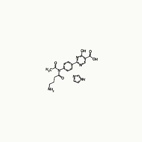 CC(=O)N(C(=O)CCCN)c1ccc(-c2ncc(C(=O)O)c(O)n2)cc1.c1c[nH]cn1